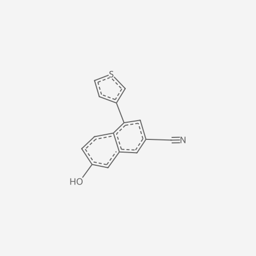 N#Cc1cc(-c2ccsc2)c2ccc(O)cc2c1